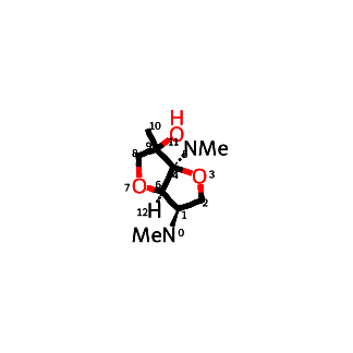 CN[C@@H]1CO[C@@]2(NC)[C@@H]1OCC2(C)O